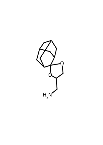 NCC1COC2(O1)C1CC3CC(C1)CC2C3